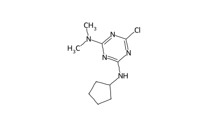 CN(C)c1nc(Cl)nc(NC2CCCC2)n1